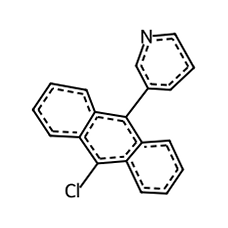 Clc1c2ccccc2c(-c2cccnc2)c2ccccc12